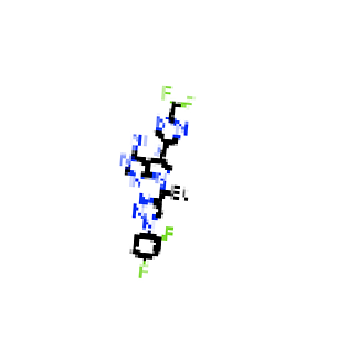 CCC(c1cn(-c2ccc(F)cc2F)nn1)n1cc(-c2cnc(C(F)F)nc2)c2c(N)ncnc21